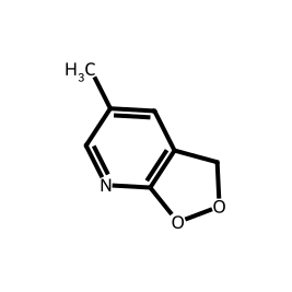 Cc1cnc2c(c1)COO2